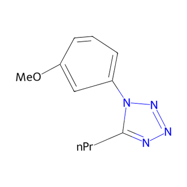 CCCc1nnnn1-c1cccc(OC)c1